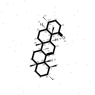 C[C@H]1[C@H](C)CC[C@]2(C)CC[C@]3(C)C(=CC[C@@H]4[C@@]5(C)C(=O)CC[C@@H](C)[C@@H]5CC[C@]43C)[C@H]12